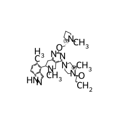 C=CC(=O)N1CCN(c2nc(OC[C@@H]3CCCN3C)nc3c2CN(C)C(c2c(C)ccc4[nH]ncc24)C3)C[C@H]1C